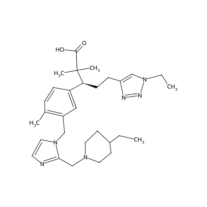 CCC1CCN(Cc2nccn2Cc2cc([C@H](CCc3cn(CC)nn3)C(C)(C)C(=O)O)ccc2C)CC1